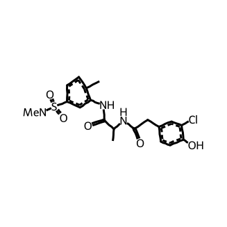 CNS(=O)(=O)c1ccc(C)c(NC(=O)C(C)NC(=O)Cc2ccc(O)c(Cl)c2)c1